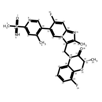 Cc1cc(S(C)(=N)=O)ncc1-c1cn2c(CN3C(=O)[C@H](C)Oc4c(F)cccc43)c(C)nc2cc1F